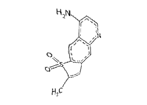 CC1=Cc2cc3nccc(N)c3cc2S1(=O)=O